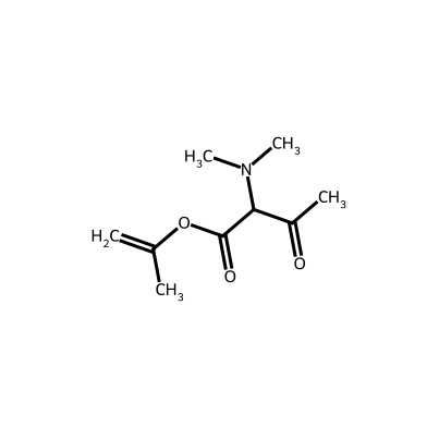 C=C(C)OC(=O)C(C(C)=O)N(C)C